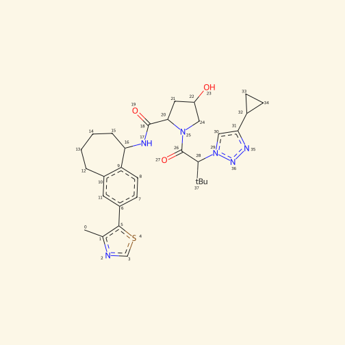 Cc1ncsc1-c1ccc2c(c1)CCCCC2NC(=O)C1CC(O)CN1C(=O)C(n1cc(C2CC2)nn1)C(C)(C)C